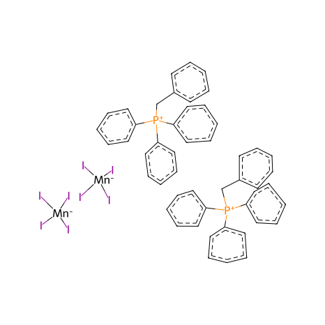 [I][Mn-]([I])([I])[I].[I][Mn-]([I])([I])[I].c1ccc(C[P+](c2ccccc2)(c2ccccc2)c2ccccc2)cc1.c1ccc(C[P+](c2ccccc2)(c2ccccc2)c2ccccc2)cc1